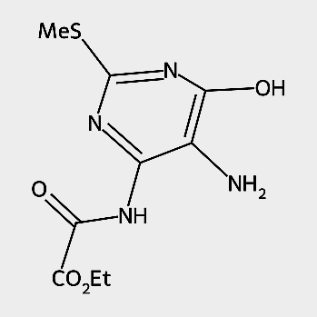 CCOC(=O)C(=O)Nc1nc(SC)nc(O)c1N